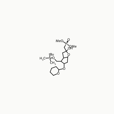 COP(=O)(CC1(O)CC2C(CC(OC3CCCCO3)C2CO[Si](C)(C)C(C)(C)C)O1)OC